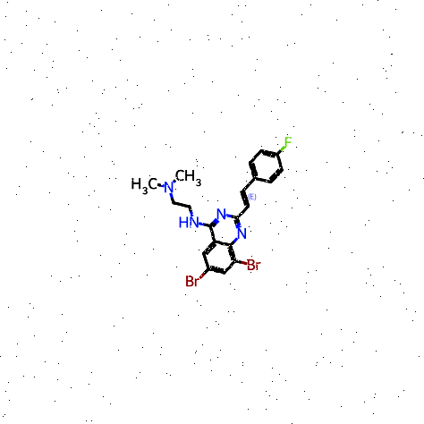 CN(C)CCNc1nc(/C=C/c2ccc(F)cc2)nc2c(Br)cc(Br)cc12